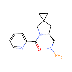 O=C(c1ccccn1)N1CC2(CC2)C[C@H]1CNP